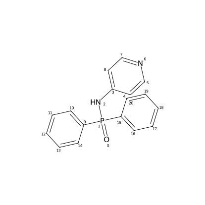 O=P(Nc1ccncc1)(c1ccccc1)c1ccccc1